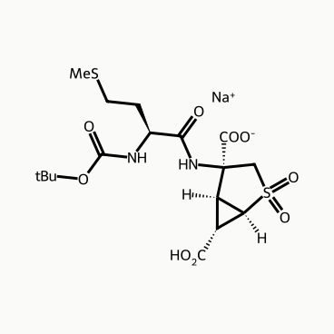 CSCC[C@H](NC(=O)OC(C)(C)C)C(=O)N[C@@]1(C(=O)[O-])CS(=O)(=O)[C@H]2[C@H](C(=O)O)[C@H]21.[Na+]